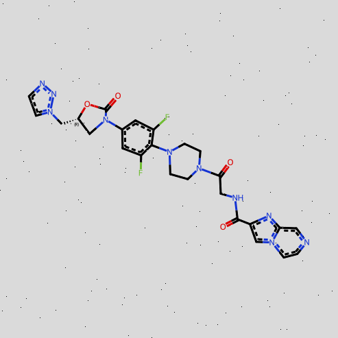 O=C(NCC(=O)N1CCN(c2c(F)cc(N3C[C@H](Cn4ccnn4)OC3=O)cc2F)CC1)c1cn2ccncc2n1